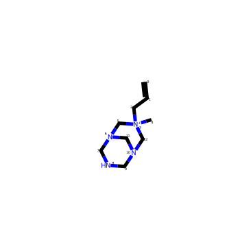 C=CC[N+]1(C)CN2CNCN(C2)C1